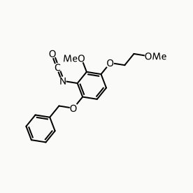 COCCOc1ccc(OCc2ccccc2)c(N=C=O)c1OC